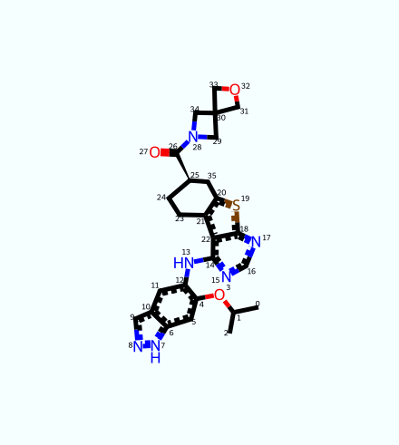 CC(C)Oc1cc2[nH]ncc2cc1Nc1ncnc2sc3c(c12)CC[C@@H](C(=O)N1CC2(COC2)C1)C3